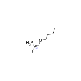 CCCCO/C=C(/F)P